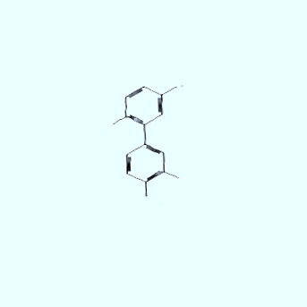 Cc1ccc(-c2cc(Br)ccc2C)cc1C